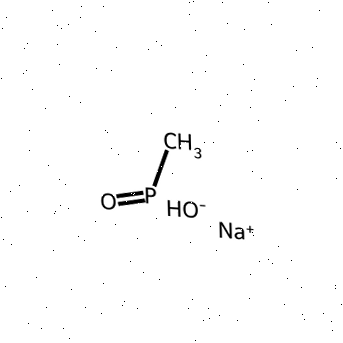 CP=O.[Na+].[OH-]